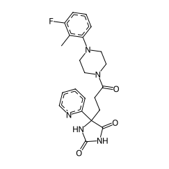 Cc1c(F)cccc1N1CCN(C(=O)CCC2(c3ccccn3)NC(=O)NC2=O)CC1